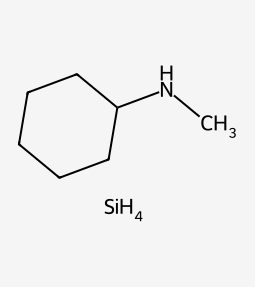 CNC1CCCCC1.[SiH4]